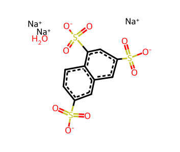 O.O=S(=O)([O-])c1ccc2c(S(=O)(=O)[O-])cc(S(=O)(=O)[O-])cc2c1.[Na+].[Na+].[Na+]